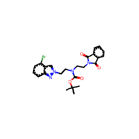 CC(C)(C)OC(=O)N(CCN1C(=O)c2ccccc2C1=O)CCn1cc2c(Br)cccc2n1